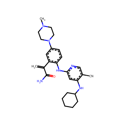 C=C(C(N)=O)c1cc(N2CCN(C)CC2)ccc1Nc1cc(NC2CCCCC2)c(C#N)cn1